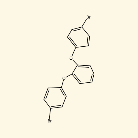 Brc1ccc(Oc2ccccc2Oc2ccc(Br)cc2)cc1